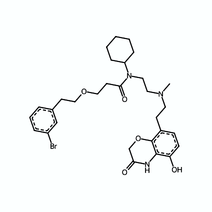 CN(CCc1ccc(O)c2c1OCC(=O)N2)CCN(C(=O)CCOCCc1cccc(Br)c1)C1CCCCC1